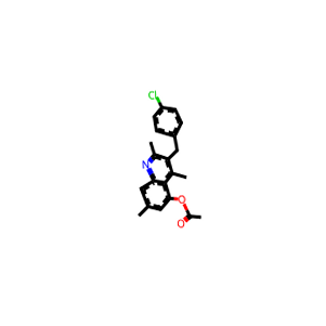 CC(=O)Oc1cc(C)cc2nc(C)c(Cc3ccc(Cl)cc3)c(C)c12